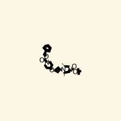 C[C@@H]1CN(C(=O)OC(C)(C)C)C[C@H](C)N1C1CC(OC2CCN(C(=O)OCc3ccccc3)CC2)C1